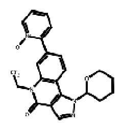 O=c1c2cnn(C3CCCCO3)c2c2ccc(-c3cccc[n+]3[O-])cc2n1CC(F)(F)F